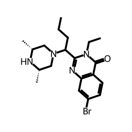 CCCC(c1nc2cc(Br)ccc2c(=O)n1CC)N1C[C@@H](C)N[C@@H](C)C1